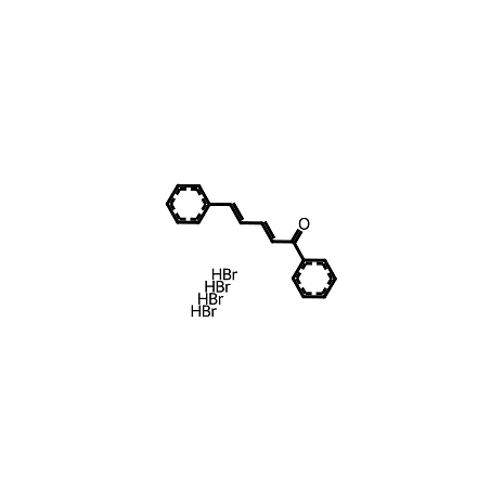 Br.Br.Br.Br.O=C(C=CC=Cc1ccccc1)c1ccccc1